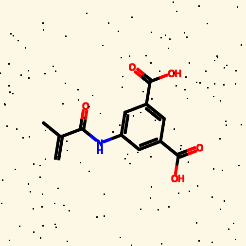 C=C(C)C(=O)Nc1cc(C(=O)O)cc(C(=O)O)c1